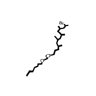 CCCCCCCOCOCCCC(C)CC(C)CC(C)CC(C)CC(C)Br